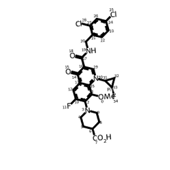 COc1c(N2CCC(C(=O)O)CC2)c(F)cc2c(=O)c(C(=O)NCc3ccc(Cl)cc3Cl)cn(C3C[C@H]3F)c12